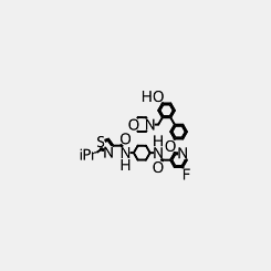 CC(C)c1nc(C(=O)NC2CCC(NC(=O)c3cc(F)cnc3Oc3cccc(-c4ccc(O)cc4CN4CCOCC4)c3)CC2)cs1